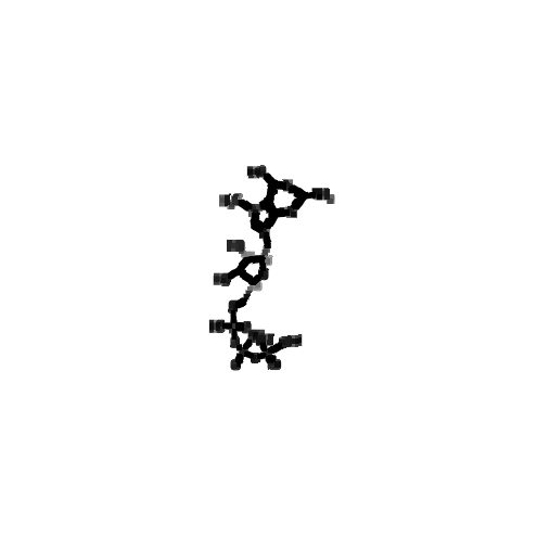 C[n+]1cn(C[C@@H]2O[C@H](COP(=O)(O)OP(=O)(O)OP(=O)(O)O)C(O)[C@@H]2O)c2nc(N)nc(O)c21